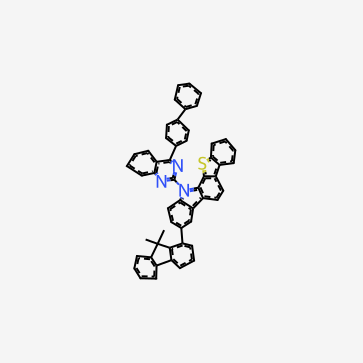 CC1(C)c2ccccc2-c2cccc(-c3ccc4c(c3)c3ccc5c6ccccc6sc5c3n4-c3nc(-c4ccc(-c5ccccc5)cc4)c4ccccc4n3)c21